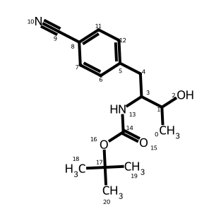 CC(O)C(Cc1ccc(C#N)cc1)NC(=O)OC(C)(C)C